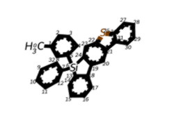 Cc1cccc([Si]2(c3ccccc3)c3ccccc3-c3cc4c(cc32)sc2ccccc24)c1